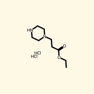 CCOC(=O)CCN1CCNCC1.Cl.Cl